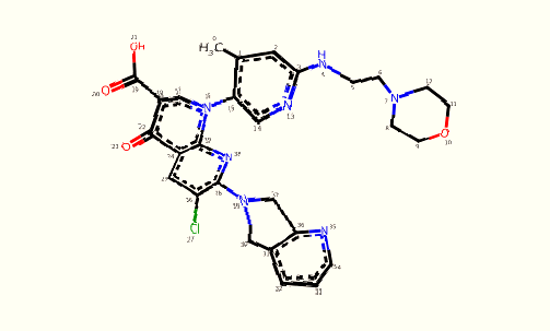 Cc1cc(NCCN2CCOCC2)ncc1-n1cc(C(=O)O)c(=O)c2cc(Cl)c(N3Cc4cccnc4C3)nc21